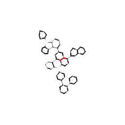 C1=CC2C(C(c3cccc(C4=C(N(c5ccc(-c6ccc7ccccc7c6)cc5)c5ccc(-c6ccccc6-c6ccccc6)cc5)C=CCC4)c3)=C1)c1ccccc1N2c1ccccc1